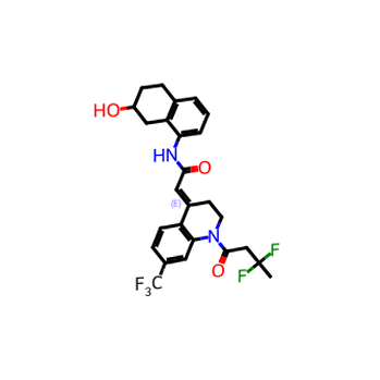 CC(F)(F)CC(=O)N1CC/C(=C\C(=O)Nc2cccc3c2CC(O)CC3)c2ccc(C(F)(F)F)cc21